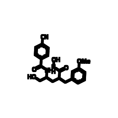 COc1cccc(CC(CC(CO)NC(=O)c2ccc(C#N)cc2)C(=O)NO)c1